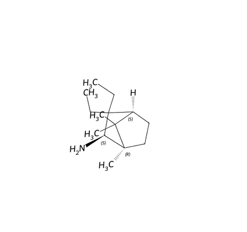 CCC1(CC)[C@H]2CC[C@@](C)([C@H]1N)C2(C)C